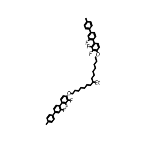 CCC(CCCCCCCOc1ccc(-c2ccc(-c3ccc(C)cc3)cc2F)c(F)c1F)CCCCCCCOc1ccc(-c2ccc(-c3ccc(C)cc3)cc2F)c(F)c1F